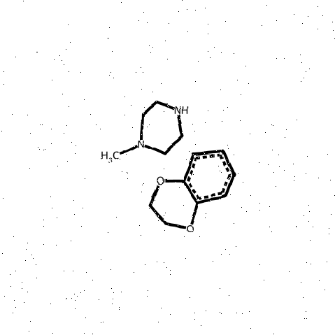 CN1CCNCC1.c1ccc2c(c1)OCCO2